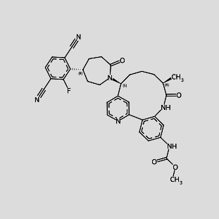 COC(=O)Nc1ccc2c(c1)NC(=O)[C@H](C)CCC[C@H](N1CC[C@H](c3c(C#N)ccc(C#N)c3F)CCC1=O)c1ccnc-2c1